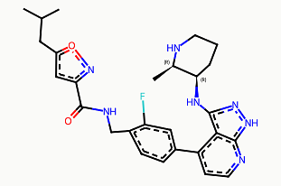 CC(C)Cc1cc(C(=O)NCc2ccc(-c3ccnc4[nH]nc(N[C@@H]5CCCN[C@@H]5C)c34)cc2F)no1